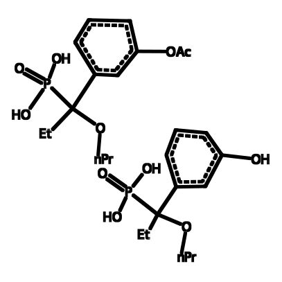 CCCOC(CC)(c1cccc(O)c1)P(=O)(O)O.CCCOC(CC)(c1cccc(OC(C)=O)c1)P(=O)(O)O